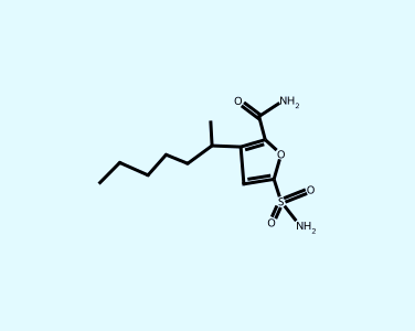 CCCCCC(C)c1cc(S(N)(=O)=O)oc1C(N)=O